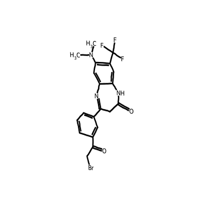 CN(C)c1cc2c(cc1C(F)(F)F)NC(=O)CC(c1cccc(C(=O)CBr)c1)=N2